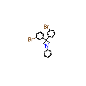 Brc1cccc(C2(c3cccc(Br)c3)CN(c3ccccc3)C2)c1